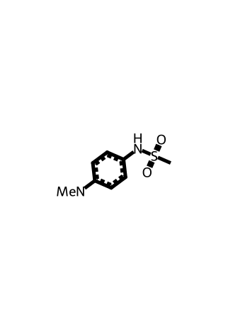 [CH2]Nc1ccc(NS(C)(=O)=O)cc1